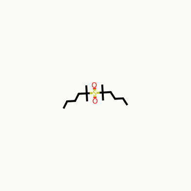 CCCCC(C)(C)S(=O)(=O)C(C)(C)CCCC